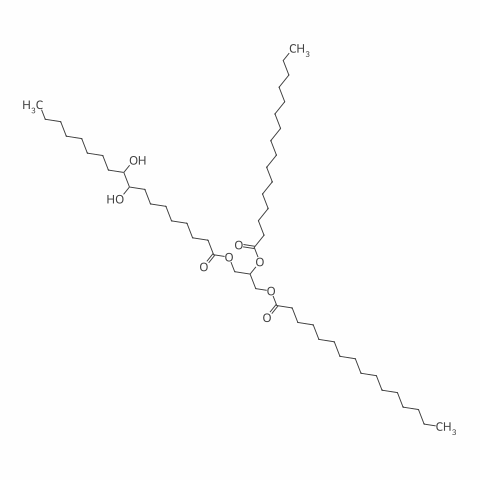 CCCCCCCCCCCCCCCC(=O)OCC(COC(=O)CCCCCCCC(O)C(O)CCCCCCCC)OC(=O)CCCCCCCCCCCCCCC